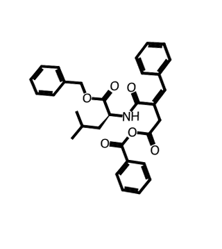 CC(C)C[C@H](NC(=O)C(=Cc1ccccc1)CC(=O)OC(=O)c1ccccc1)C(=O)OCc1ccccc1